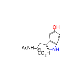 CC(=O)N[C@@H](Cc1c[nH]c2ccc(O)cc12)C(=O)O